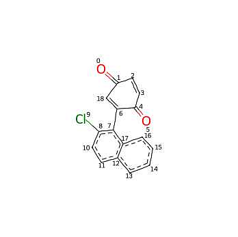 O=C1C=CC(=O)C(c2c(Cl)ccc3ccccc23)=C1